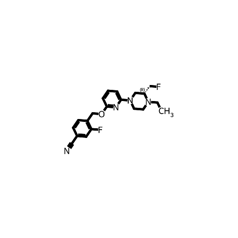 CCN1CCN(c2cccc(OCc3ccc(C#N)cc3F)n2)C[C@@H]1CF